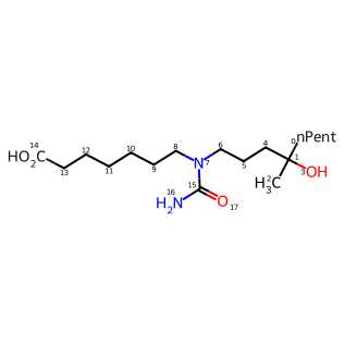 CCCCCC(C)(O)CCCN(CCCCCCC(=O)O)C(N)=O